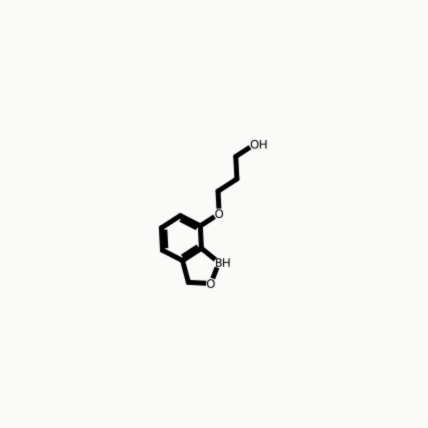 OCCCOc1cccc2c1BOC2